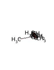 CCCCCCCCCCCCCCCCCC(=O)OC(CC(=O)OCCC)(CC(=O)ON(C)C)C(=O)OC(N)=O